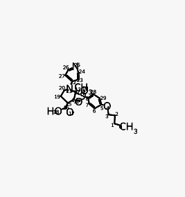 CCCCOc1ccc(S(=O)(=O)C2(C)CC(C(=O)O)CCN2c2ccncc2)cc1